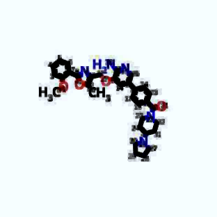 COc1ccccc1-c1nc(COc2cc(-c3ccc(C(=O)N4CCC(N5CCCC5)CC4)cc3)cnc2N)c(C)o1